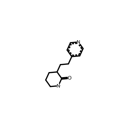 O=C1[N]CCCC1CCc1ccncc1